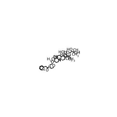 C[C@@H]1C[C@H]([C@H](O)C(C)(C)O)O[C@H]2C1[C@@]1(C)CC[C@@]34CC35CCC(OC3CN(C(=O)Cc6ccccn6)CCO3)C(C)(C)[C@@H]5CC[C@H]4[C@]1(C)[C@H]2O